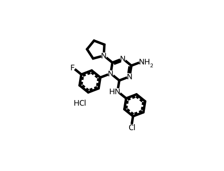 Cl.NC1=NC(Nc2cccc(Cl)c2)N(c2cccc(F)c2)C(N2CCCC2)=N1